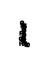 CC(=O)NC[C@H]1CN(c2ccc(N3CCN(C4=NC(=O)CS4)CC3)c(F)c2)C(=O)O1